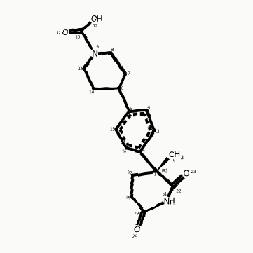 C[C@]1(c2ccc(C3CCN(C(=O)O)CC3)cc2)CCC(=O)NC1=O